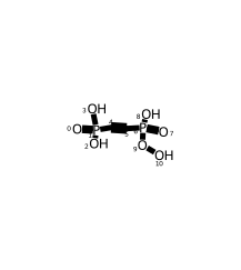 O=P(O)(O)C#CP(=O)(O)OO